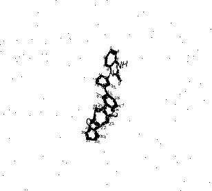 CC1NC2C=CC=CC2N1c1cccc(-c2ccc3oc4cc5c(cc4c3c2)oc2ccccc25)c1